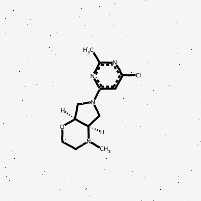 Cc1nc(Cl)cc(N2C[C@@H]3OCCN(C)[C@@H]3C2)n1